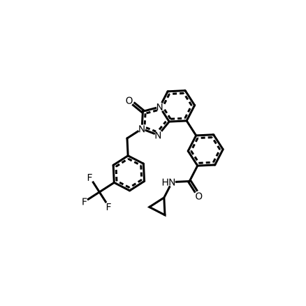 O=C(NC1CC1)c1cccc(-c2cccn3c(=O)n(Cc4cccc(C(F)(F)F)c4)nc23)c1